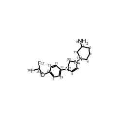 NC1CCCN(N2C=CN(c3ccc(OC(F)F)cc3)C2)C1